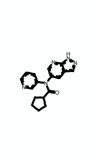 O=C(C1CCCC1)N(c1cccnc1)c1cnc2[nH]ncc2c1